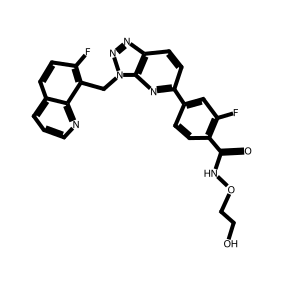 O=C(NOCCO)c1ccc(-c2ccc3nnn(Cc4c(F)ccc5cccnc45)c3n2)cc1F